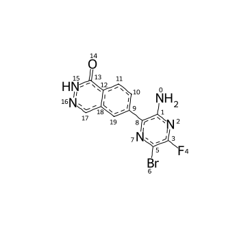 Nc1nc(F)c(Br)nc1-c1ccc2c(=O)[nH]ncc2c1